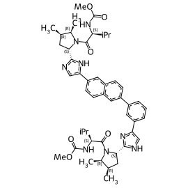 COC(=O)N[C@H](C(=O)N1[C@H](C)[C@H](C)C[C@H]1c1nc(-c2cccc(-c3ccc4cc(-c5cnc([C@@H]6C[C@@H](C)[C@@H](C)N6C(=O)[C@@H](NC(=O)OC)C(C)C)[nH]5)ccc4c3)c2)c[nH]1)C(C)C